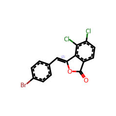 O=C1O/C(=C\c2ccc(Br)cc2)c2c1ccc(Cl)c2Cl